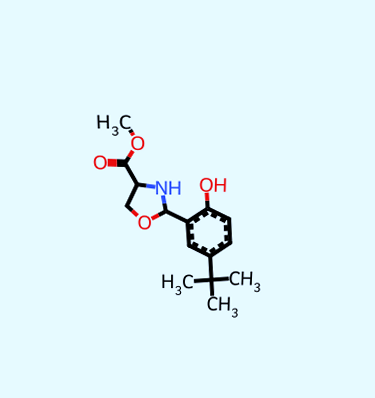 COC(=O)C1COC(c2cc(C(C)(C)C)ccc2O)N1